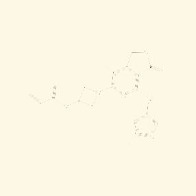 C=CC(=O)NC1CN(c2nc(Nc3cnn(C)c3)c3c(c2F)CNC3=O)C1